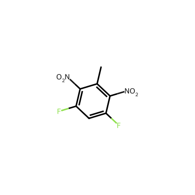 Cc1c([N+](=O)[O-])c(F)cc(F)c1[N+](=O)[O-]